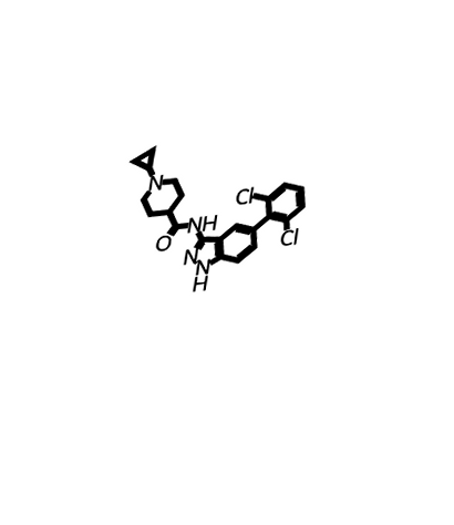 O=C(Nc1n[nH]c2ccc(-c3c(Cl)cccc3Cl)cc12)C1CCN(C2CC2)CC1